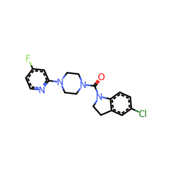 O=C(N1CCN(c2cc(F)ccn2)CC1)N1CCc2cc(Cl)ccc21